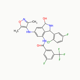 Cc1noc(C)c1Nc1cc(NC(=O)c2cc(F)cc(C(F)(F)F)c2)c2c(c1)C(O)NC2c1cc(F)ccc1Cl